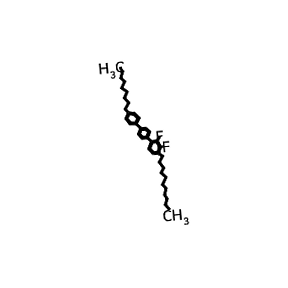 CCCCCCCCCCCCc1ccc(-c2ccc(-c3ccc(CCCCCCCCC)cc3)cc2)c(F)c1F